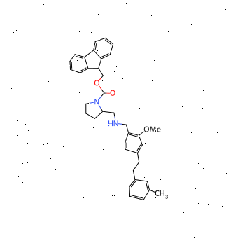 COc1cc(CCc2cccc(C)c2)ccc1CNCC1CCCN1C(=O)OCC1c2ccccc2-c2ccccc21